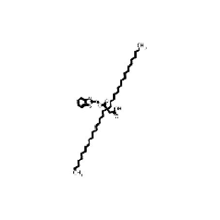 CCCCCCCCCCCCCCCCCCC(CCCCCCCCCCCCCCCCCC)(CC(=O)O)C(=O)OSc1nc2ccccc2s1